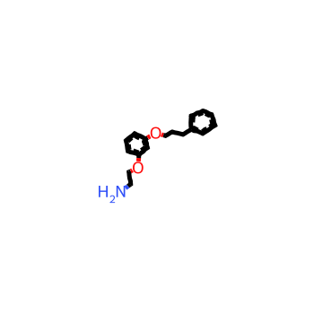 NCCOc1cccc(OCCCc2ccccc2)c1